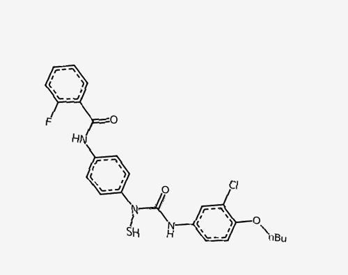 CCCCOc1ccc(NC(=O)N(S)c2ccc(NC(=O)c3ccccc3F)cc2)cc1Cl